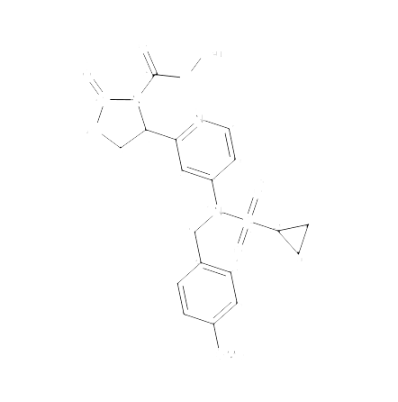 COc1ccc(CN(c2ccnc(C3COS(=O)N3C(=O)OC(C)(C)C)c2)S(=O)(=O)C2CC2)cc1